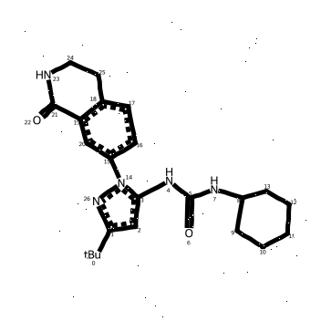 CC(C)(C)c1cc(NC(=O)NC2CCCCC2)n(-c2ccc3c(c2)C(=O)NCC3)n1